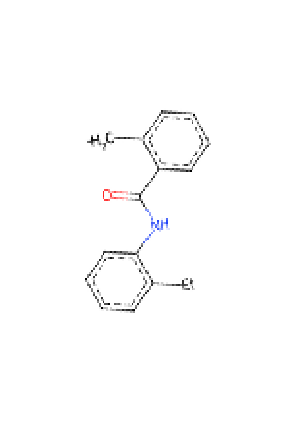 [CH2]c1ccccc1C(=O)Nc1ccccc1CC